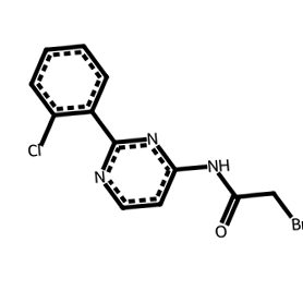 O=C(CBr)Nc1ccnc(-c2ccccc2Cl)n1